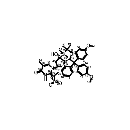 COc1ccc(C(c2ccccc2)(c2ccc(OC)cc2)C(O)[C@H]2O[C@@](CC[N+](=O)[O-])(n3cc(C)c(=O)[nH]c3=O)C[C@@]2(O)[Si](C)(C)C(C)(C)C)cc1